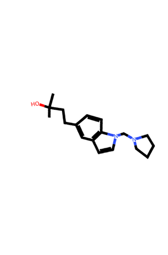 CC(C)(O)CCc1ccc2c(ccn2CN2CCCC2)c1